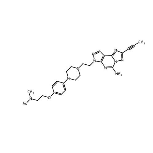 CC#Cc1nc2c3cnn(CCN4CCN(c5ccc(OCCN(C)C(C)=O)cc5)CC4)c3nc(N)n2n1